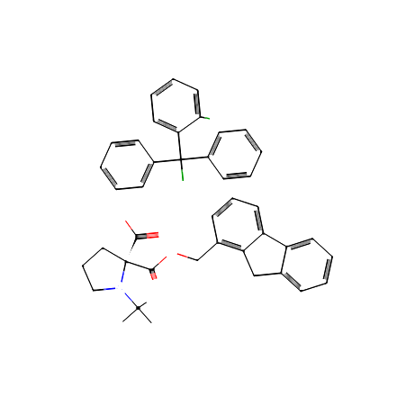 CC(C)(C)N1CCC[C@]1(C(=O)O)C(=O)OCc1cccc2c1Cc1ccccc1-2.Clc1ccccc1C(Cl)(c1ccccc1)c1ccccc1